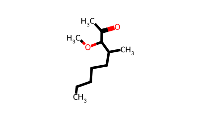 CCCCCC(C)C(OC)C(C)=O